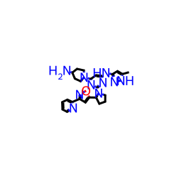 Cc1cc(Nc2cc(N3CCC(N)CC3)nc(N3CCCC3c3cc(-c4ccccn4)no3)n2)n[nH]1